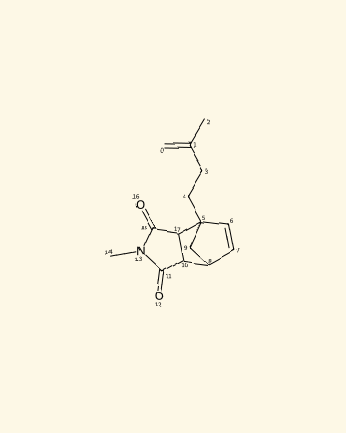 C=C(C)CCC12C=CC(C1)C1C(=O)N(C)C(=O)C12